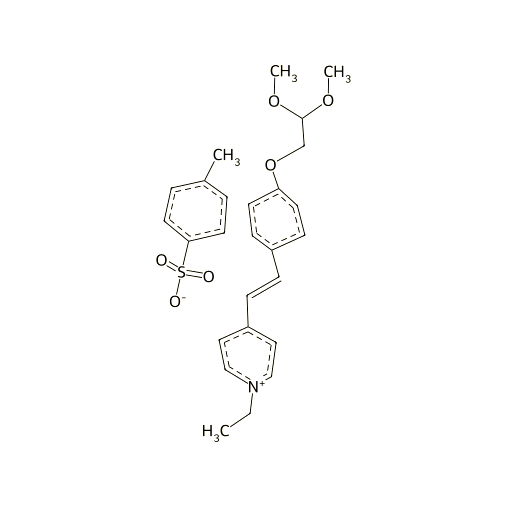 CC[n+]1ccc(C=Cc2ccc(OCC(OC)OC)cc2)cc1.Cc1ccc(S(=O)(=O)[O-])cc1